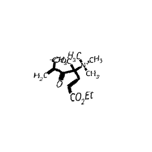 C=C(C)C(=O)C(C=CC(=O)OCC)(C(=O)[O-])[N+](C)(C)C